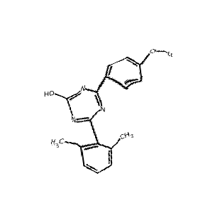 CCOc1ccc(-c2nc(O)nc(-c3c(C)cccc3C)n2)cc1